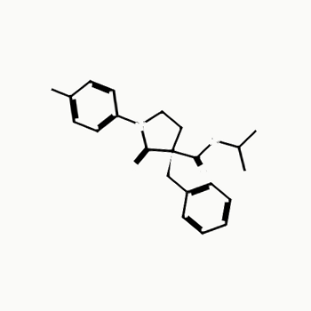 CC(C)NC(=O)[C@@]1(Cc2ccccc2)CCN(c2ccc(F)cc2)C1=O